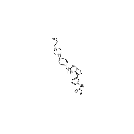 C=CC(=O)Nc1cccc(-c2ncn3cnc(Nc4ccc(N5CCN(CCO)CC5)cc4)nc23)c1